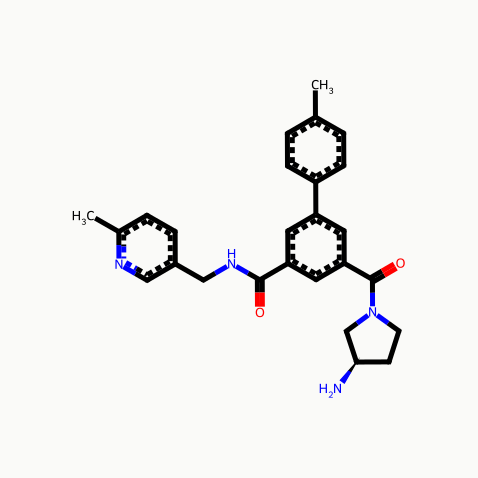 Cc1ccc(-c2cc(C(=O)NCc3ccc(C)nc3)cc(C(=O)N3CC[C@@H](N)C3)c2)cc1